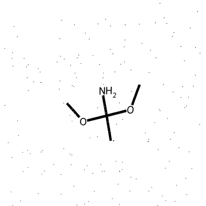 [CH2]C(N)(OC)OC